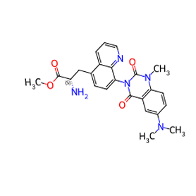 COC(=O)[C@@H](N)Cc1ccc(-n2c(=O)c3cc(N(C)C)ccc3n(C)c2=O)c2ncccc12